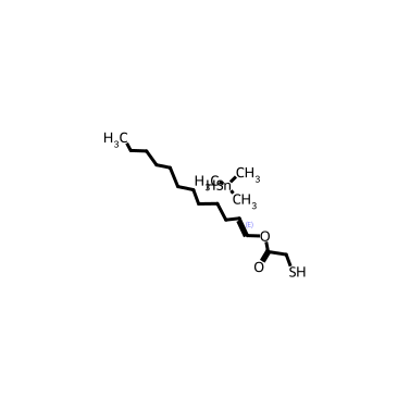 CCCCCCCCCC/C=C/OC(=O)CS.[CH3][SnH]([CH3])[CH3]